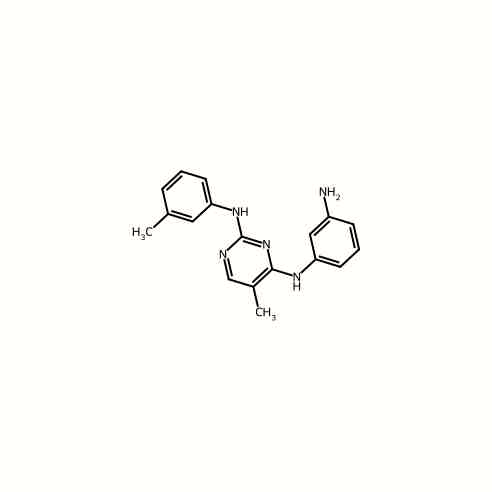 Cc1cccc(Nc2ncc(C)c(Nc3cccc(N)c3)n2)c1